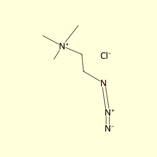 C[N+](C)(C)CCN=[N+]=[N-].[Cl-]